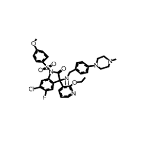 CCOc1ncccc1C1(NCc2ccc(N3CCN(C)CC3)cc2)C(=O)N(S(=O)(=O)c2ccc(OC)cc2)c2cc(Cl)c(F)cc21